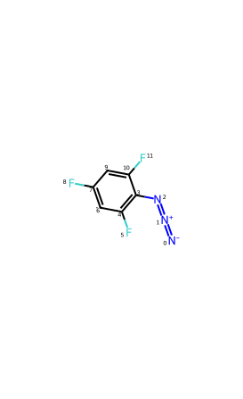 [N-]=[N+]=Nc1c(F)[c]c(F)cc1F